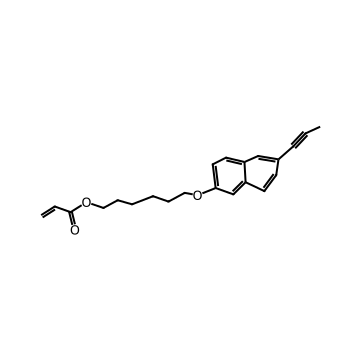 C=CC(=O)OCCCCCCOc1ccc2cc(C#CC)ccc2c1